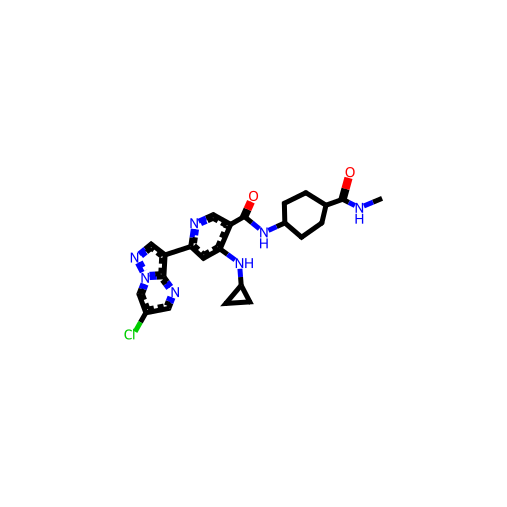 CNC(=O)C1CCC(NC(=O)c2cnc(-c3cnn4cc(Cl)cnc34)cc2NC2CC2)CC1